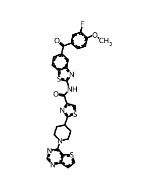 COc1ccc(C(=O)c2ccc3sc(NC(=O)c4csc(C5CCN(c6ncnc7ccsc67)CC5)n4)nc3c2)cc1F